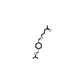 CC(=O)CCCOC[C@H]1CC[C@H](COC(C)C)CC1